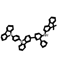 CC1(C)c2ccccc2-c2ccc(Nc3ccc(-c4ccc5c(c4)c4ccccc4n5-c4ccc(-n5c6ccccc6c6ccccc65)cc4)cc3-c3ccccc3)cc21